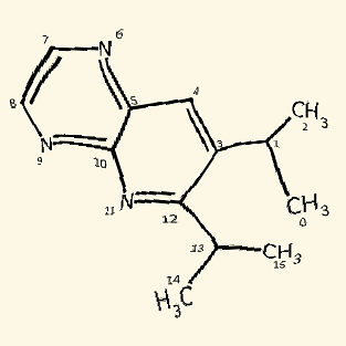 CC(C)c1cc2nccnc2nc1C(C)C